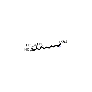 CCCCCCCC/C=C\CCCCCCCCC(CS(=O)(=O)O)N(C)S(=O)(=O)O